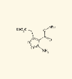 CCCCOC(=O)c1c(CC(=O)OCC)noc1N